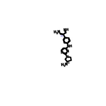 N=C/C(=C\N)c1ccc(Nc2ccnc(N3CC[C@H](N)C3)n2)cc1